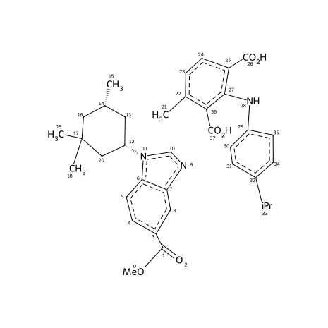 COC(=O)c1ccc2c(c1)ncn2[C@H]1C[C@@H](C)CC(C)(C)C1.Cc1ccc(C(=O)O)c(Nc2ccc(C(C)C)cc2)c1C(=O)O